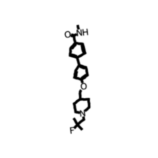 CNC(=O)c1ccc(-c2ccc(OCC3CCN(CC(C)(C)F)CC3)cc2)cc1